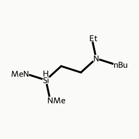 CCCCN(CC)CC[SiH](NC)NC